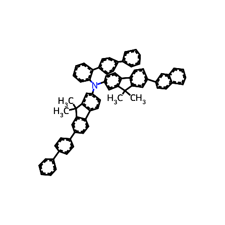 CC1(C)c2cc(-c3ccc(-c4ccccc4)cc3)ccc2-c2ccc(N(c3ccc4c(c3)C(C)(C)c3cc(-c5ccc6ccccc6c5)ccc3-4)c3ccccc3-c3ccc(-c4ccccc4)cc3)cc21